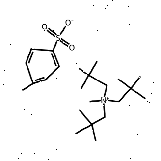 CC(C)(C)C[N+](C)(CC(C)(C)C)CC(C)(C)C.Cc1ccc(S(=O)(=O)[O-])cc1